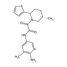 Cc1cc(NC(=O)C(=O)N2C[C@@H](C)CCC2c2cccs2)cnc1N